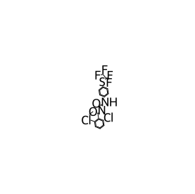 CO/C(=N\C(=O)Nc1ccc(SC(F)(F)C(F)F)cc1)c1c(Cl)cccc1Cl